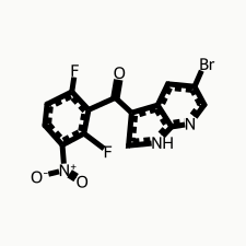 O=C(c1c(F)ccc([N+](=O)[O-])c1F)c1c[nH]c2ncc(Br)cc12